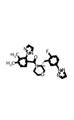 Cc1ccc(C(=O)N2CCOC[C@H]2Cc2cc(-n3nccn3)ccc2F)c(-n2nccn2)c1C